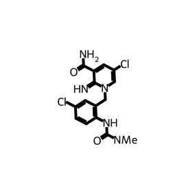 CNC(=O)Nc1ccc(Cl)cc1Cn1cc(Cl)cc(C(N)=O)c1=N